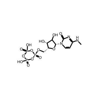 CNc1ccn([C@@H]2O[C@H](COP3(=O)OP(=O)(O)OP(=O)(O)O3)[C@H](O)C2O)c(=O)n1